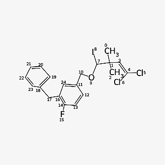 CC(C)(C=C(Cl)Cl)C(I)OCc1ccc(F)c(Cc2ccccc2)c1